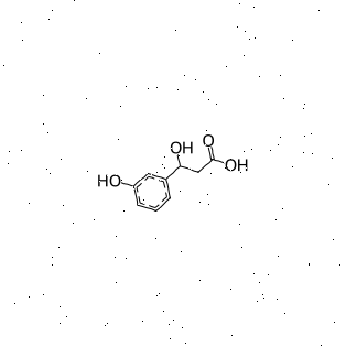 O=C(O)CC(O)c1cccc(O)c1